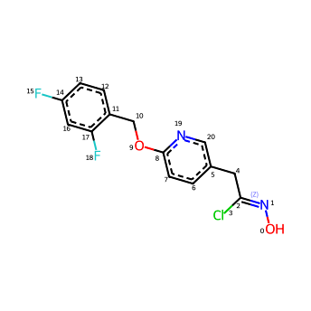 O/N=C(\Cl)Cc1ccc(OCc2ccc(F)cc2F)nc1